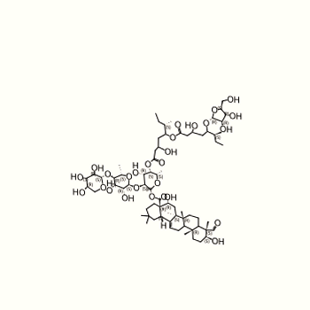 CC[C@H](C)C(CC(O)CC(=O)O[C@H]1[C@@H](O)[C@H](O[C@@H]2O[C@@H](C)[C@H](O[C@@H]3OC[C@@H](O)[C@H](O)[C@H]3O)[C@@H](O)[C@H]2O)[C@@H](OC(=O)[C@]23CCC(C)(C)C[C@H]2C2=CCC4[C@@]5(C)CC[C@H](O)[C@@](C)(C=O)C5CC[C@@]4(C)[C@]2(C)C[C@H]3O)O[C@H]1C)OC(=O)CC(O)CC(O[C@@H]1O[C@@H](CO)[C@H](O)[C@H]1O)[C@@H](C)CC